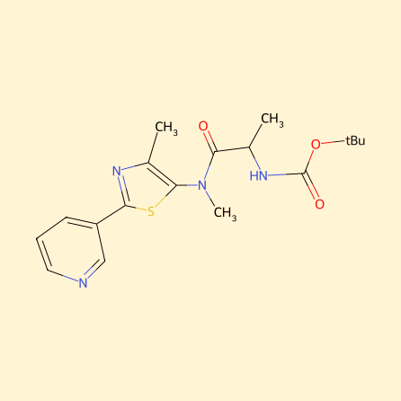 Cc1nc(-c2cccnc2)sc1N(C)C(=O)C(C)NC(=O)OC(C)(C)C